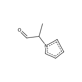 CC(C=O)n1cccc1